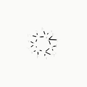 Br[Si]1(Br)[Si](Br)(Br)[Si](Br)(Br)[Si](Br)(Br)[Si](Br)(Br)[Si](Br)(Br)[Si]1(Br)Br